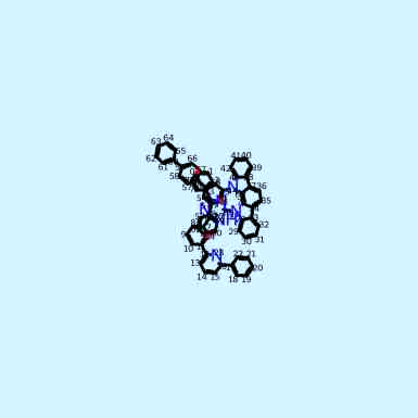 c1ccc(C2=NC(c3cccc(-c4cccc(-c5ccccc5)n4)c3)NC(n3c4ccccc4c4ccc5c6ccccc6n(-c6cc(-c7ccccc7)cc(-c7ccc(-c8ccccc8)cc7)c6)c5c43)=N2)cc1